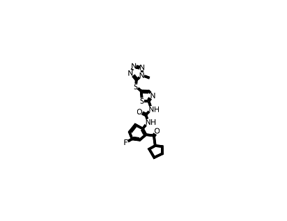 Cn1nnnc1Sc1cnc(NC(=O)Nc2ccc(F)cc2C(=O)C2CCCC2)s1